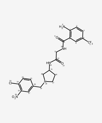 Nc1ccc(C(F)(F)F)cc1C(=O)NCC(=O)NC1CCN(Cc2ccc(Cl)c([N+](=O)[O-])c2)C1